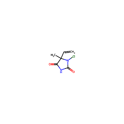 C=CC1(C)C(=O)NC(=O)N1Cl